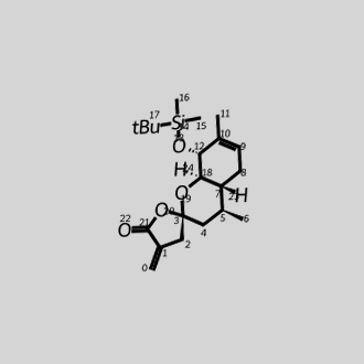 C=C1C[C@@]2(C[C@H](C)[C@H]3CC=C(C)[C@@H](O[Si](C)(C)C(C)(C)C)[C@@H]3O2)OC1=O